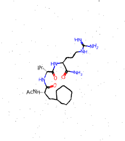 CC(=O)N[C@@H](CC1CCCCCC1)C(=O)N[C@@H](C(=O)N[C@@H](CCCNC(=N)N)C(N)=O)C(C)C